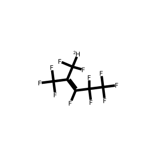 [2H]C(F)(F)C(=C(F)C(F)(F)C(F)(F)F)C(F)(F)F